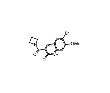 COc1cc2[nH]c(=O)c(C(=O)N3CCC3)cc2cc1Br